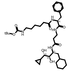 CC(C)(C)OC(=O)NCCCCCC(=O)N[C@@H](Cc1ccccc1)C(=O)NCCC(=O)N[C@@H](CC1CCCCC1)[C@@H](O)[C@@H](O)C1CC1